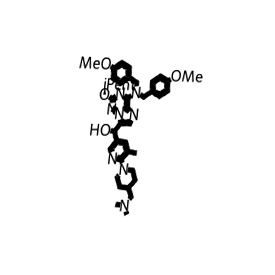 CCC[C@H](C)Oc1nc(N(Cc2ccc(OC)cc2)Cc2ccc(OC)cc2)c2ncc(C(O)c3cnc(N4CCC(CN(C)C)CC4)c(C)c3)n2n1